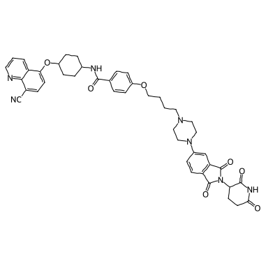 N#Cc1ccc(OC2CCC(NC(=O)c3ccc(OCCCCN4CCN(c5ccc6c(c5)C(=O)N(C5CCC(=O)NC5=O)C6=O)CC4)cc3)CC2)c2cccnc12